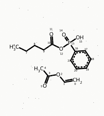 C=COC(C)=O.CCCCC(=O)OP(=O)(O)c1ccccc1